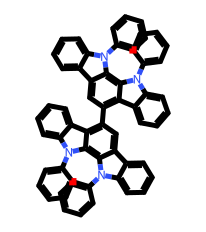 c1ccc(-n2c3ccccc3c3cc(-c4cc5c6ccccc6n(-c6ccccc6)c5c5c4c4ccccc4n5-c4ccccc4)c4c5ccccc5n(-c5ccccc5)c4c32)cc1